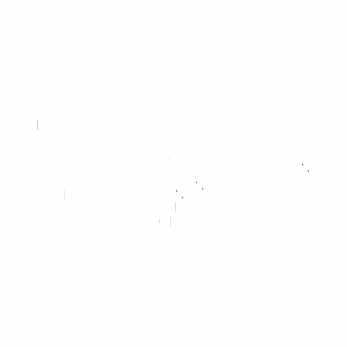 N#Cc1ccc(C=NNC(=O)c2cc(-c3ccc(F)cc3F)ccc2O)cc1